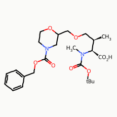 C[C@H](COCC1CN(C(=O)OCc2ccccc2)CCO1)[C@@H](C(=O)O)N(C)C(=O)OC(C)(C)C